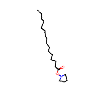 CCCCCCCCCCCCCCCC(=O)ON1CCCC1